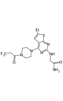 CCc1cc2c(N3CCN(C(=O)CC(F)(F)F)CC3)nc(NCC(N)=O)nc2s1